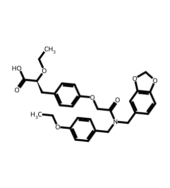 CCOc1ccc(CN(Cc2ccc3c(c2)OCO3)C(=O)COc2ccc(C[C@H](OCC)C(=O)O)cc2)cc1